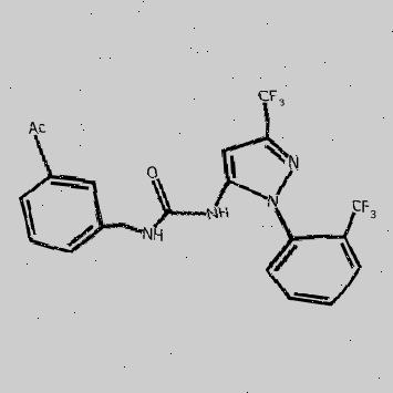 CC(=O)c1cccc(NC(=O)Nc2cc(C(F)(F)F)nn2-c2ccccc2C(F)(F)F)c1